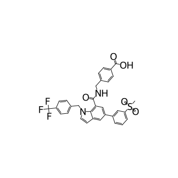 CS(=O)(=O)c1cccc(-c2cc(C(=O)NCc3ccc(C(=O)O)cc3)c3c(ccn3Cc3ccc(C(F)(F)F)cc3)c2)c1